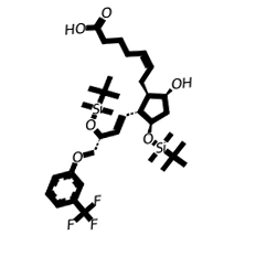 CC(C)(C)[Si](C)(C)O[C@H](/C=C/[C@@H]1[C@@H](C/C=C\CCCC(=O)O)[C@@H](O)C[C@H]1O[Si](C)(C)C(C)(C)C)COc1cccc(C(F)(F)F)c1